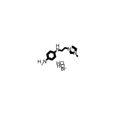 Cl.Cl.Cn1cc[n+](CCNc2ccc(N)cc2)c1.[Br-]